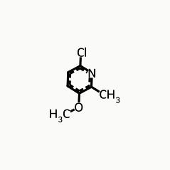 COc1ccc(Cl)nc1C